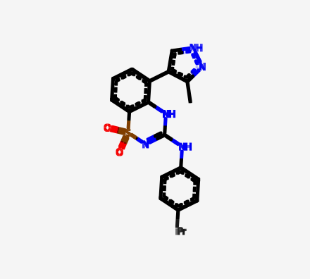 Cc1n[nH]cc1-c1cccc2c1NC(Nc1ccc(C(C)C)cc1)=NS2(=O)=O